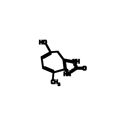 CC1=CC=C(O)Cc2[nH]c(=O)[nH]c21